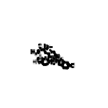 CN(C)C(=O)CC1C[N+](C(=O)N2CCC3=C(N2)SCN3)(S(=O)(=O)c2cc3ccc(Cl)cc3s2)CCN1